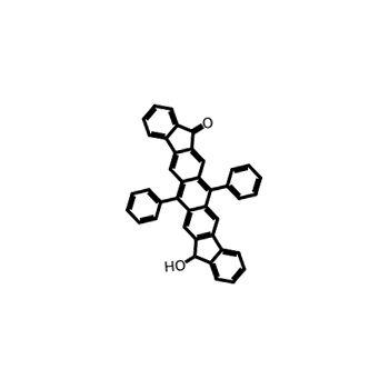 O=C1c2ccccc2-c2cc3c(-c4ccccc4)c4cc5c(cc4c(-c4ccccc4)c3cc21)-c1ccccc1C5O